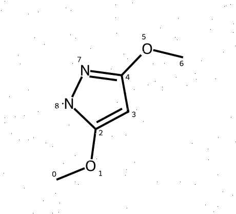 COC1=CC(OC)=N[N]1